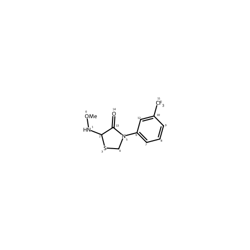 CONC1SCN(c2cccc(C(F)(F)F)c2)C1=O